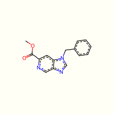 COC(=O)c1cc2c(cn1)ncn2Cc1ccccc1